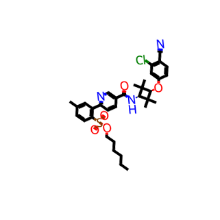 CCCCCCOS(=O)(=O)c1ccc(C)cc1-c1ccc(C(=O)N[C@H]2C(C)(C)[C@H](Oc3ccc(C#N)c(Cl)c3)C2(C)C)cn1